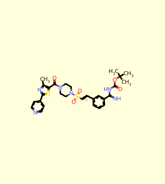 Cc1nc(-c2ccncc2)sc1C(=O)N1CCN(S(=O)(=O)/C=C/c2cccc(C(=N)NC(=O)OC(C)(C)C)c2)CC1